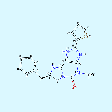 CCCN1C(=O)N2C[C@@H](Cc3ccccc3)N=C2c2[nH]c(-c3cccs3)nc21